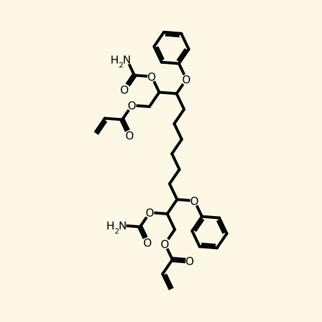 C=CC(=O)OCC(OC(N)=O)C(CCCCCCC(Oc1ccccc1)C(COC(=O)C=C)OC(N)=O)Oc1ccccc1